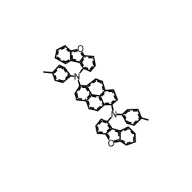 Cc1ccc(N(c2ccc3ccc4c(N(c5ccc(C)cc5)c5cccc6oc7ccccc7c56)ccc5ccc2c3c54)c2cccc3oc4ccccc4c23)cc1